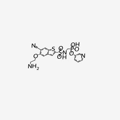 N#Cc1cc2sc(S(=O)(=O)NCP(=O)(O)Oc3cccnc3)cc2cc1OCCN